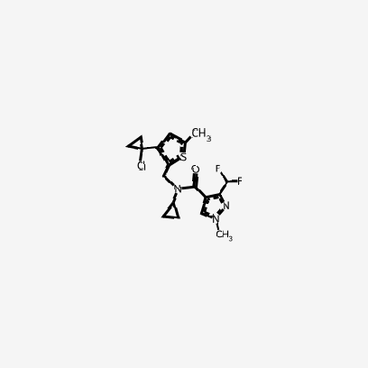 Cc1cc(C2(Cl)CC2)c(CN(C(=O)c2cn(C)nc2C(F)F)C2CC2)s1